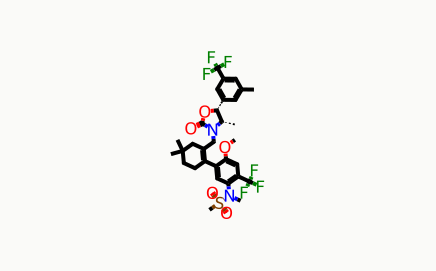 COc1cc(C(F)(F)F)c(N(C)S(C)(=O)=O)cc1C1=C(CN2C(=O)O[C@H](c3cc(C)cc(C(F)(F)F)c3)[C@@H]2C)CC(C)(C)CC1